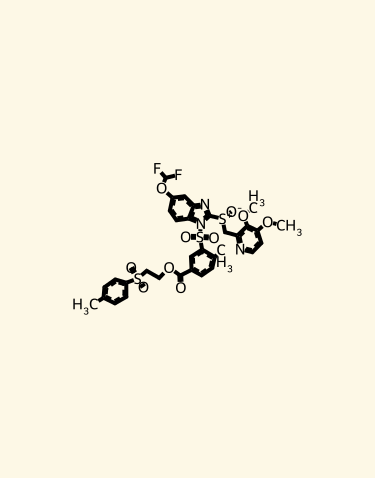 COc1ccnc(C[S+]([O-])c2nc3cc(OC(F)F)ccc3n2S(=O)(=O)c2cc(C(=O)OCCS(=O)(=O)c3ccc(C)cc3)ccc2C)c1OC